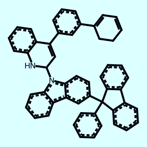 C1=CCCC(c2cccc(C3=CC(n4c5ccccc5c5cc(C6(c7ccccc7)c7ccccc7-c7ccccc76)ccc54)Nc4ccccc43)c2)=C1